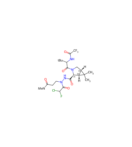 CNC(=O)CCN(NC(=O)[C@@H]1[C@@H]2[C@H](CN1C(=O)C(NC(=O)C(F)(F)F)C(C)(C)C)C2(C)C)C(=O)C(F)Cl